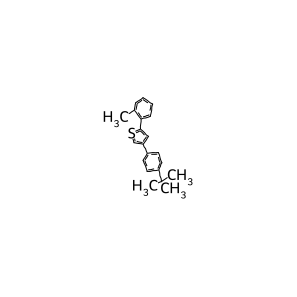 Cc1ccccc1-c1cc(-c2ccc(C(C)(C)C)cc2)cs1